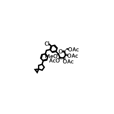 COC1(c2ccc(Cl)c(Cc3ccc(C4CCC5(CC5)C4)cc3)c2)O[C@H](COC(C)=O)[C@@H](OC(C)=O)[C@H](OC(C)=O)[C@H]1OC(C)=O